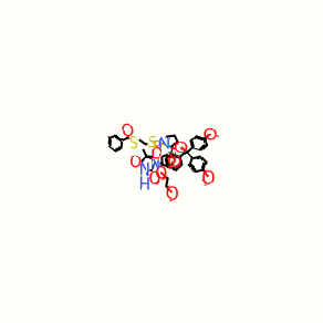 COCCOC1(n2cc(C)c(=O)[nH]c2=O)CO[C@H](COC(c2ccccc2)(c2ccc(OC)cc2)c2ccc(OC)cc2)C1OP(SCCSC(=O)c1ccccc1)N1CCCC1